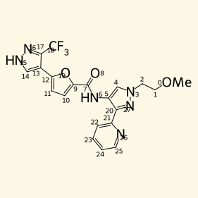 COCCn1cc(NC(=O)c2ccc(-c3c[nH]nc3C(F)(F)F)o2)c(-c2ccccn2)n1